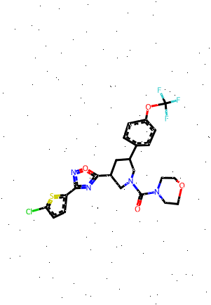 O=C(N1CCOCC1)N1CC(c2ccc(OC(F)(F)F)cc2)CC(c2nc(-c3ccc(Cl)s3)no2)C1